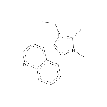 CCn1cc[n+](CC)c1Cl.c1ccc2ncccc2c1